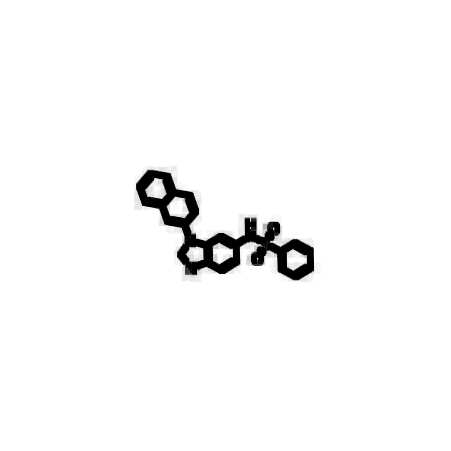 O=S(=O)(Nc1ccc2c(c1)N(c1ccc3ccccc3c1)C[N]2)c1ccccc1